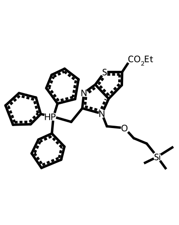 CCOC(=O)c1cc2c(nc(C[PH](c3ccccc3)(c3ccccc3)c3ccccc3)n2COCC[Si](C)(C)C)s1